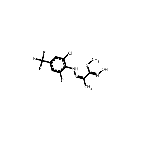 CSC(=NO)C(C)=NNc1c(Cl)cc(C(F)(F)F)cc1Cl